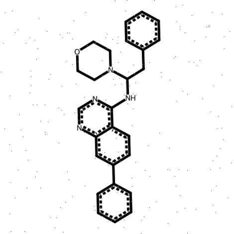 c1ccc(CC(Nc2ncnc3cc(-c4ccccc4)ccc23)N2CCOCC2)cc1